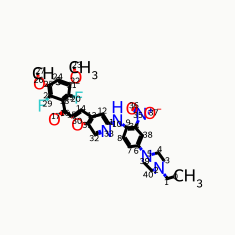 CCN1CCN(c2ccc(Nc3cc4cc(C(=O)c5c(F)c(OC)cc(OC)c5F)oc4cn3)c([N+](=O)[O-])c2)CC1